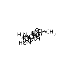 CCCCOP1(=O)OC[C@H]2O[C@@H](n3cnc4c(O)nc(N)nc43)[C@](C)(F)[C@@H]2O1